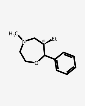 CC[C@@H]1CN(C)CCOC1c1ccccc1